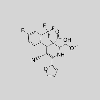 COCC1NC(c2ccco2)=C(C#N)C(c2ccc(F)cc2C(F)(F)F)C1(C)C(=O)O